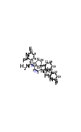 C=C(/C=C\C=C(/N)c1ccc(F)nc1F)C1(c2cccc(-c3ccc(F)nc3F)n2)CCCC1